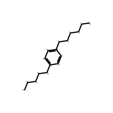 CCCCC[CH]c1ccc(CCCCC)cc1